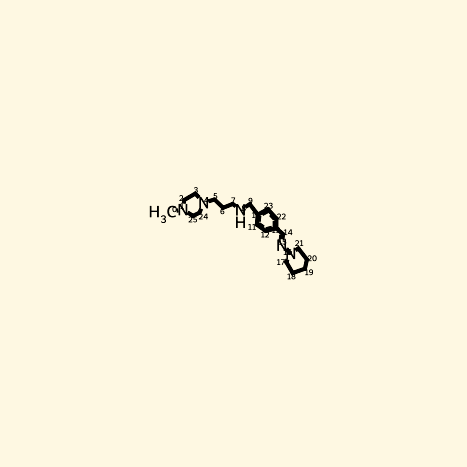 CN1CCN(CCCNCc2ccc(C=NN3CCCCC3)cc2)CC1